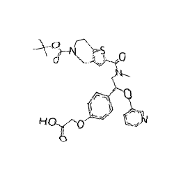 CN(CC(Oc1cccnc1)c1ccc(OCC(=O)O)cc1)C(=O)c1cc2c(s1)CCN(C(=O)OC(C)(C)C)C2